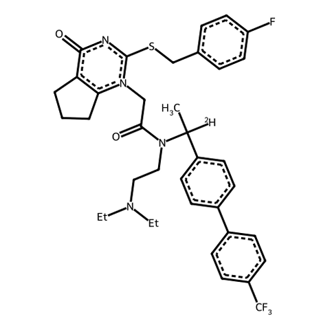 [2H]C(C)(c1ccc(-c2ccc(C(F)(F)F)cc2)cc1)N(CCN(CC)CC)C(=O)Cn1c(SCc2ccc(F)cc2)nc(=O)c2c1CCC2